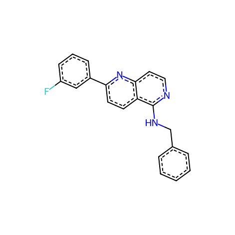 Fc1cccc(-c2ccc3c(NCc4ccccc4)nccc3n2)c1